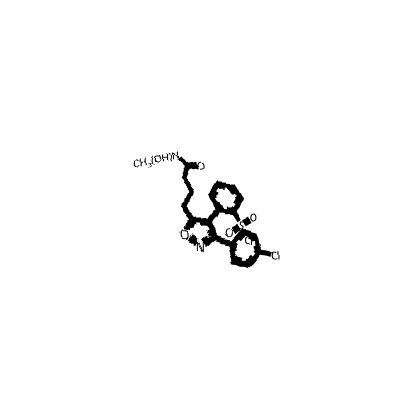 CN(O)C(=O)CCCc1onc(-c2ccc(Cl)cc2)c1-c1ccccc1S(C)(=O)=O